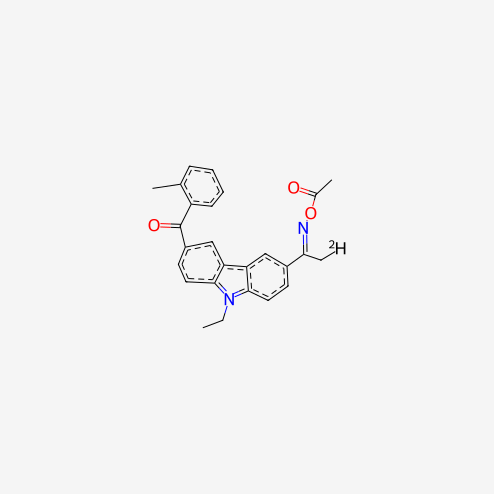 [2H]CC(=NOC(C)=O)c1ccc2c(c1)c1cc(C(=O)c3ccccc3C)ccc1n2CC